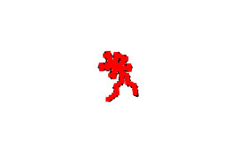 CC(C)CCC[C@@H](C)CCC[C@@H](C)CCC[C@@H](C)CCOC[C@H](CO[C@@H]1O[C@H](COC(=O)c2ccccc2)[C@@H](O[C@@H]2O[C@@H]3COC(c4ccccc4)O[C@@H]3[C@H](OC(=O)c3ccccc3)[C@H]2OC(=O)c2ccccc2)[C@H](OC(=O)c2ccccc2)[C@H]1OC(=O)c1ccccc1)OCC[C@H](C)CCC[C@H](C)CCC[C@H](C)CCCC(C)C